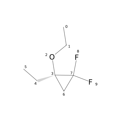 CCO[C@]1(CC)CC1(F)F